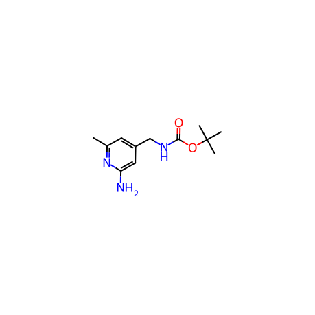 Cc1cc(CNC(=O)OC(C)(C)C)cc(N)n1